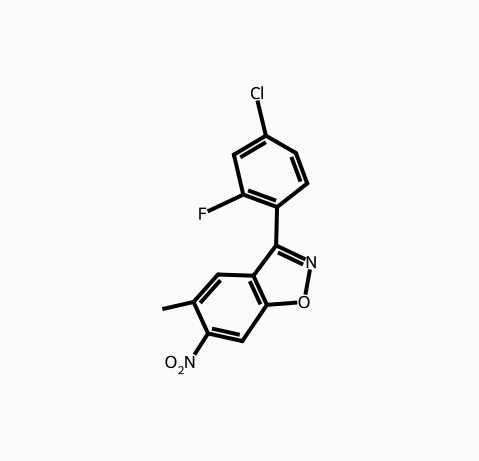 Cc1cc2c(-c3ccc(Cl)cc3F)noc2cc1[N+](=O)[O-]